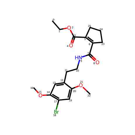 CCOC(=O)C1=C(C(=O)NCCc2cc(OC)c(Br)cc2OC)CCC1